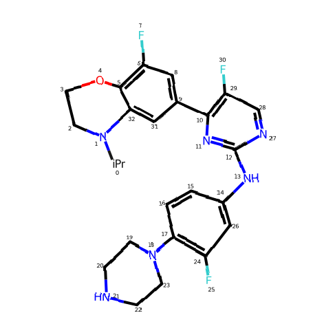 CC(C)N1CCOc2c(F)cc(-c3nc(Nc4ccc(N5CCNCC5)c(F)c4)ncc3F)cc21